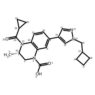 C[C@H]1CN(C(=O)O)c2cc(-c3cnn(CC4CCC4)c3)ccc2N1C(=O)C1CC1